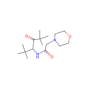 CC(C)(C)C(=O)C(NC(=O)CN1CCOCC1)C(C)(C)C